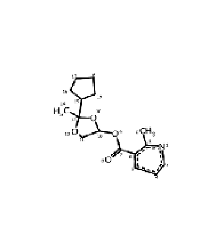 Cc1ncccc1C(=O)OC1COC(C)(C2CCCC2)O1